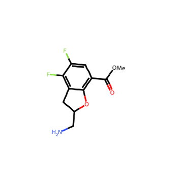 COC(=O)c1cc(F)c(F)c2c1OC(CN)C2